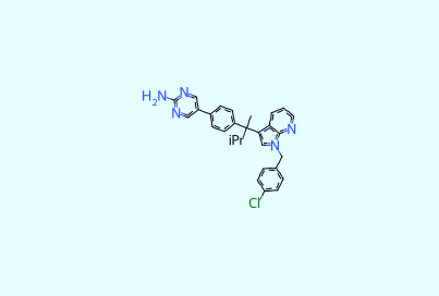 CC(C)C(C)(c1ccc(-c2cnc(N)nc2)cc1)c1cn(Cc2ccc(Cl)cc2)c2ncccc12